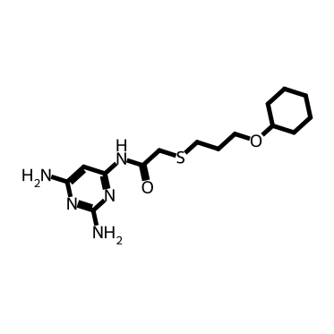 Nc1cc(NC(=O)CSCCCOC2CCCCC2)nc(N)n1